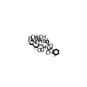 Cc1nc(/C=C(/Cl)[C@H](CC(=O)N2C(=O)O[C@H](c3ccccc3)[C@@H]2C)O[Si](C)(C)C(C)(C)C)cs1